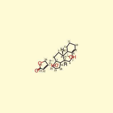 C[C@]12CC[C@H]3[C@@H](CCC4=CCCC[C@@]43CO)[C@@]1(O)CC[C@@H]2C1=CC(=O)OC1